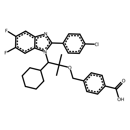 CC(C)(OCc1ccc(C(=O)O)cc1)C(C1CCCCC1)n1c(-c2ccc(Cl)cc2)nc2cc(F)c(F)cc21